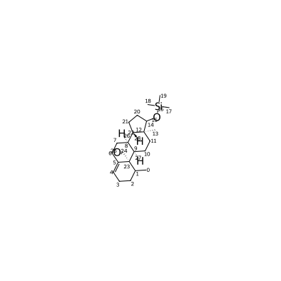 CC1CCC=C2CC[C@@H]3[C@@H](CC[C@]4(C)C(O[Si](C)(C)C)CC[C@@H]34)[C@]21C=O